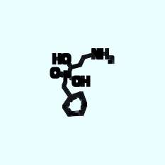 NCCC(O)P(=O)(O)Cc1ccccc1